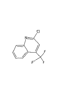 FC(F)(F)c1cc(Cl)nc2ccccc12